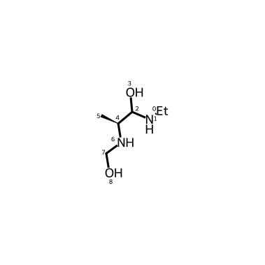 CCNC(O)[C@H](C)NCO